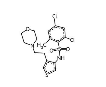 Cc1cc(Cl)cc(Cl)c1S(=O)(=O)Nc1cscc1CCN1CCOCC1